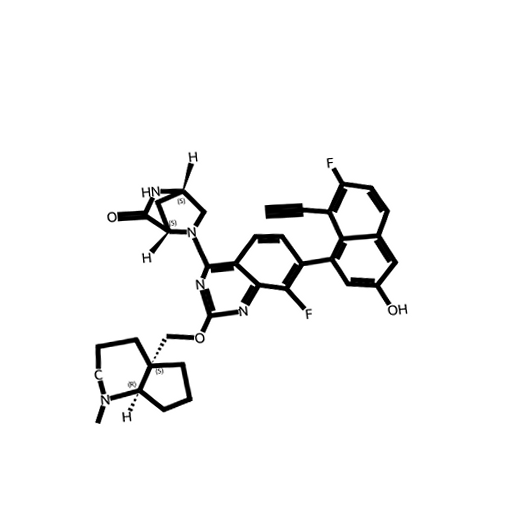 C#Cc1c(F)ccc2cc(O)cc(-c3ccc4c(N5C[C@@H]6C[C@H]5C(=O)N6)nc(OC[C@]56CCC[C@H]5N(C)CCC6)nc4c3F)c12